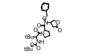 CC(C)(C)OC(=O)NC(C(=O)N1CCCC1C(=O)N(OCc1ccccc1)C1COC(=O)C1)C(C)(C)C